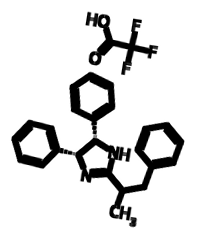 CC(Cc1ccccc1)C1=N[C@H](c2ccccc2)[C@H](c2ccccc2)N1.O=C(O)C(F)(F)F